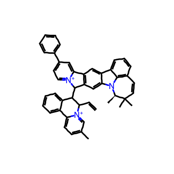 C=CC1C(C2c3cc4c(cc3-c3cc(-c5ccccc5)cc[n+]32)c2cccc3c2n4[C@H](C)C(C)(C)C=C3)c2ccccc2-c2ccc(C)c[n+]21